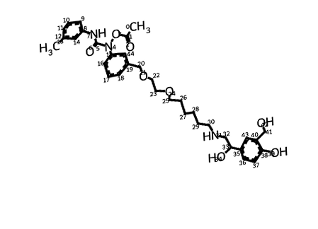 CC(=O)ON(C(=O)Nc1cccc(C)c1)c1cccc(COCCOCCCCCCNCC(O)c2ccc(O)c(CO)c2)c1